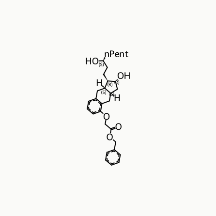 CCCCC[C@H](O)CC[C@@H]1[C@H]2Cc3cccc(OCC(=O)OCc4ccccc4)c3C[C@H]2C[C@H]1O